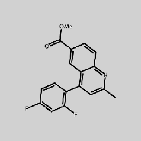 COC(=O)c1ccc2nc(C)cc(-c3ccc(F)cc3F)c2c1